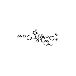 COc1ccc(CN(c2ccon2)S(=O)(=O)c2cc3ccc(=O)n(-c4cc(F)c(Br)cc4OC)c3cc2F)cc1